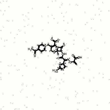 C=C(ON=C(C(=O)N[C@@H]1C(=O)N2C(C(=O)[O-])=C(C[n+]3ccc(C(N)=O)cc3)CS[C@@H]12)c1csc(N)n1)C(=O)O